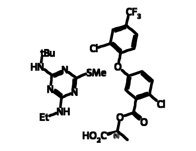 CCNc1nc(NC(C)(C)C)nc(SC)n1.C[C@H](OC(=O)c1cc(Oc2ccc(C(F)(F)F)cc2Cl)ccc1Cl)C(=O)O